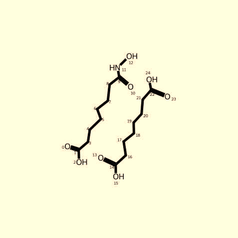 O=C(O)CCCCCCC(=O)NO.O=C(O)CCCCCCC(=O)O